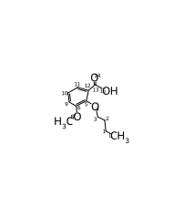 CCCCOc1c(OC)cccc1C(=O)O